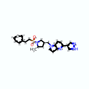 C[C@@H]1C[C@H](Cn2ccc3nc(-c4cn[nH]c4)ccc32)CN1S(=O)(=O)CCc1ccccc1